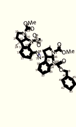 COC(=O)N1CC[C@]2(/N=N/c3cccc4c3N(S(C)(=O)=O)C3N(C(=O)OC)CC[C@]43C)c3ccccc3N(C(=O)OCc3ccccc3)C12